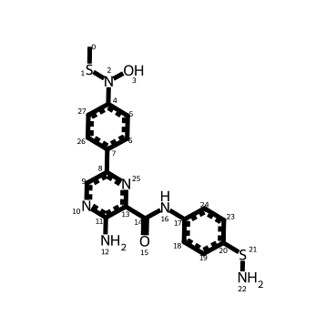 CSN(O)c1ccc(-c2cnc(N)c(C(=O)Nc3ccc(SN)cc3)n2)cc1